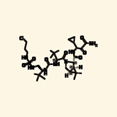 CC(C)(C)[C@H](NC(=O)N[C@H](CNS(=O)(=O)NCCCCl)C(C)(C)C)C(=O)N1C[C@H]2[C@@H]([C@H]1C(=O)NC(C(=O)C(N)=O)C1CC1)C2(C)C